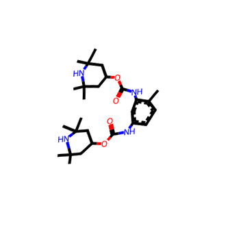 Cc1ccc(NC(=O)OC2CC(C)(C)NC(C)(C)C2)cc1NC(=O)OC1CC(C)(C)NC(C)(C)C1